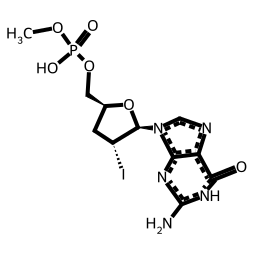 COP(=O)(O)OC[C@@H]1C[C@@H](I)[C@H](n2cnc3c(=O)[nH]c(N)nc32)O1